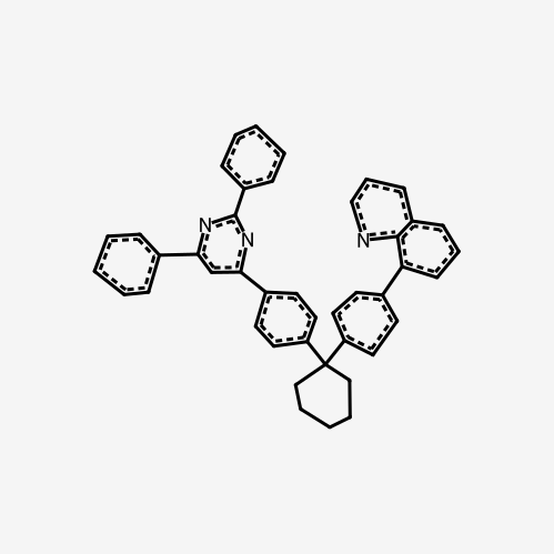 c1ccc(-c2cc(-c3ccc(C4(c5ccc(-c6cccc7cccnc67)cc5)CCCCC4)cc3)nc(-c3ccccc3)n2)cc1